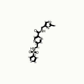 Cc1ncc(CNC(=O)c2cnc(CNS(=O)(=O)c3ccsc3)cn2)s1